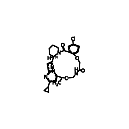 CC1CCNC(=O)COc2ccc(Cl)cc2C(=O)N2CCCC[C@H]2c2cc3nc(C4CC4)cc1n3n2